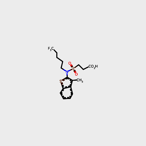 Cc1c(N(CCCCC(F)(F)F)S(=O)(=O)CCC(=O)O)sc2ccccc12